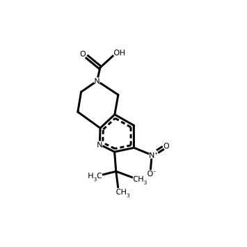 CC(C)(C)c1nc2c(cc1[N+](=O)[O-])CN(C(=O)O)CC2